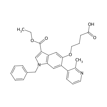 CCOC(=O)c1cn(Cc2ccccc2)c2cc(-c3cccnc3C)c(OCCCC(=O)O)cc12